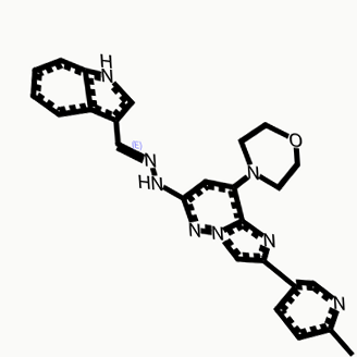 Cc1ccc(-c2cn3nc(N/N=C/c4c[nH]c5ccccc45)cc(N4CCOCC4)c3n2)cn1